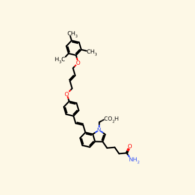 Cc1cc(C)c(OC/C=C/COc2ccc(C=Cc3cccc4c(CCCC(N)=O)cn(CC(=O)O)c34)cc2)c(C)c1